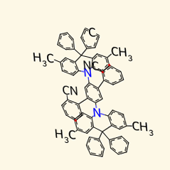 Cc1ccc2c(c1)C(c1ccccc1)(c1ccccc1)c1cc(C)ccc1N2c1cc(-c2ccccc2C#N)c(N2c3ccc(C)cc3C(c3ccccc3)(c3ccccc3)c3cc(C)ccc32)cc1-c1ccccc1C#N